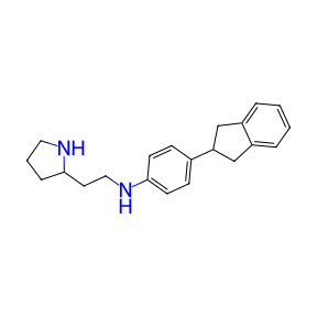 c1ccc2c(c1)CC(c1ccc(NCCC3CCCN3)cc1)C2